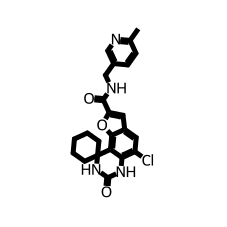 Cc1ccc(CNC(=O)c2cc3cc(Cl)c4c(c3o2)C2(CCCCC2)NC(=O)N4)cn1